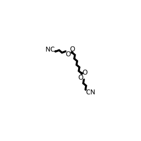 N#CCCCCOC(=O)CCCCCCC(=O)OCCCCC#N